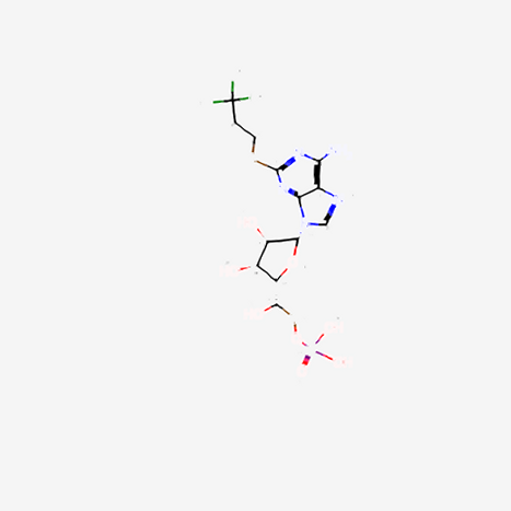 Nc1nc(SCCC(F)(F)F)nc2c1ncn2[C@@H]1O[C@H](C(O)SOP(=O)(O)O)[C@@H](O)[C@H]1O